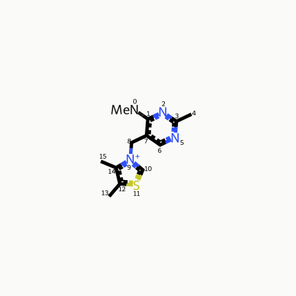 CNc1nc(C)ncc1C[n+]1csc(C)c1C